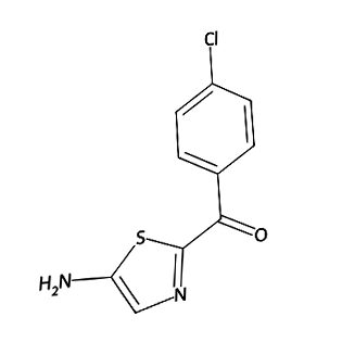 Nc1cnc(C(=O)c2ccc(Cl)cc2)s1